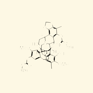 COc1cc2c(cc1OC(=O)OC(C)(C)C)CCN[C@]21CS[C@@H]2c3c(OC(=O)OC(C)(C)C)c(C)c4c(c3[C@H](COC1=O)N1C2[C@@H]2c3c(cc(C)c(OC)c3O)C[C@@H]([C@@H]1O)N2C)OCO4